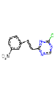 O=[N+]([O-])c1cccc(C=Cc2ncnc(Cl)n2)c1